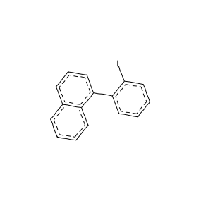 Ic1ccccc1-c1cccc2ccccc12